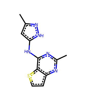 Cc1cc(Nc2nc(C)nc3ccsc23)[nH]n1